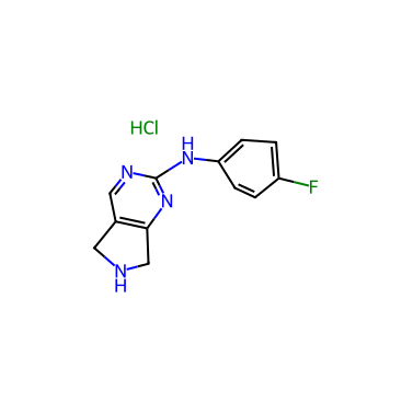 Cl.Fc1ccc(Nc2ncc3c(n2)CNC3)cc1